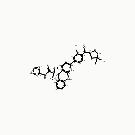 CC(C)(C(=O)Nc1nncs1)[C@H]1c2ccccc2Oc2nc(-c3ccc(C(=O)N4CCC(F)(F)C4)c(F)c3)ccc21